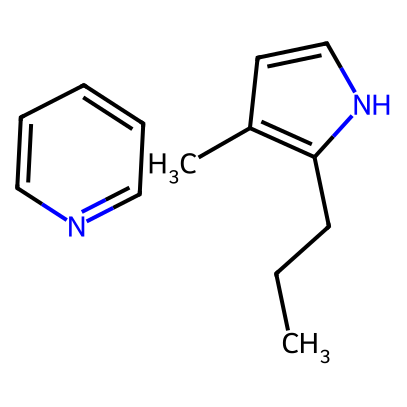 CCCc1[nH]ccc1C.c1ccncc1